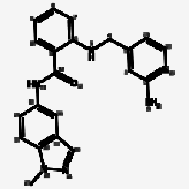 Bc1cc(CNc2ccccc2C(=O)Nc2ccc3c(cnn3C)c2)ccn1